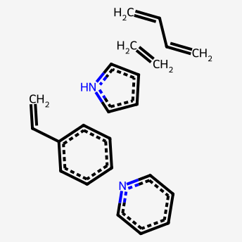 C=C.C=CC=C.C=Cc1ccccc1.c1cc[nH]c1.c1ccncc1